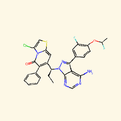 CC[C@@H](c1cc2scc(Cl)n2c(=O)c1-c1ccccc1)n1nc(-c2ccc(OC(C)F)c(F)c2)c2c(N)ncnc21